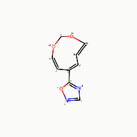 C1=C/C(c2ncno2)=C\C=C\OCO\1